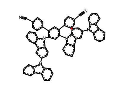 N#Cc1ccc(-c2cc(-c3ccc(C#N)cc3)c(-n3c4ccccc4c4cc(-n5c6ccccc6c6ccccc65)ccc43)cc2-n2c3ccccc3c3cc(-n4c5ccccc5c5ccccc54)ccc32)cc1